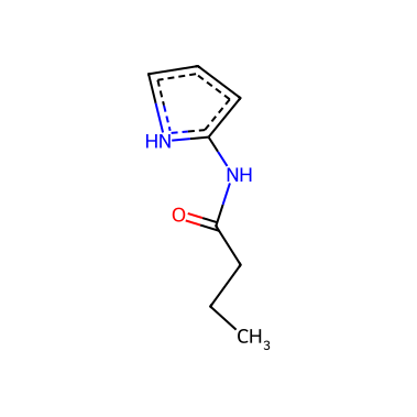 CCCC(=O)Nc1ccc[nH]1